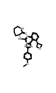 COc1ccc(-c2nc3c4c(C5COC5)cccc4nc(N[C@@H]4CCCCNC4=O)n3n2)cc1